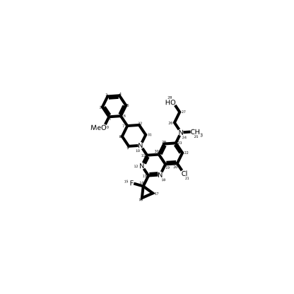 COc1ccccc1C1CCN(c2nc(C3(F)CC3)nc3c(Cl)cc(N(C)CCO)cc23)CC1